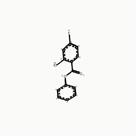 O=C(Oc1ccccc1)c1ccc(F)cc1Cl